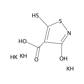 O=C(O)c1c(O)nsc1S.[KH].[KH].[KH]